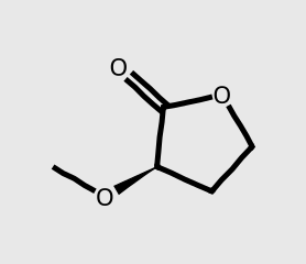 CO[C@@H]1CCOC1=O